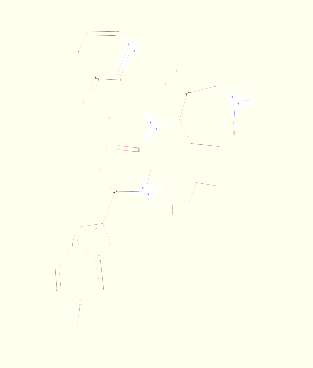 CC(C)C[C@H](NC(=O)c1cc2cc(F)c(F)cc2o1)C(=O)N([C@H]1CC[C@@H](C)NCC1=O)S(=O)(=O)C1=NC=CCC1=O